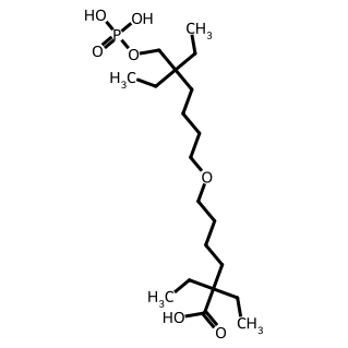 CCC(CC)(CCCCOCCCCC(CC)(CC)C(=O)O)COP(=O)(O)O